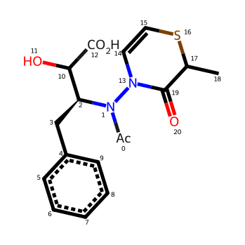 CC(=O)N([C@@H](Cc1ccccc1)C(O)C(=O)O)N1C=CSC(C)C1=O